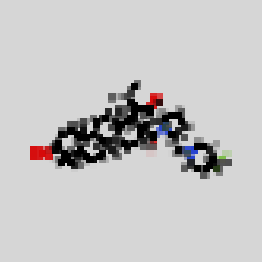 CC(C)C1=C2[C@H]3CCC4[C@@]5(C)CC[C@H](O)C(C)(C)C5CC[C@@]4(C)[C@]3(C)CC[C@@]2(C(=O)N2CCC[C@H]2CN2CCC(F)(F)CC2)CC1=O